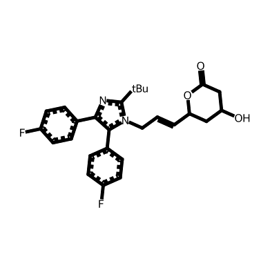 CC(C)(C)c1nc(-c2ccc(F)cc2)c(-c2ccc(F)cc2)n1CC=CC1CC(O)CC(=O)O1